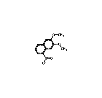 COc1cc2cccc([N+](=O)[O-])c2cc1OC